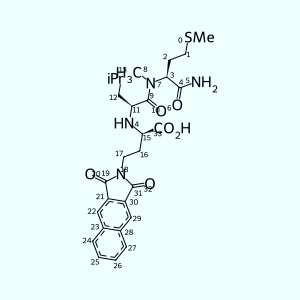 CSCC[C@@H](C(N)=O)N(C)C(=O)[C@H](CC(C)C)N[C@H](CCN1C(=O)c2cc3ccccc3cc2C1=O)C(=O)O